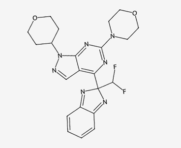 FC(F)C1(c2nc(N3CCOCC3)nc3c2cnn3C2CCOCC2)N=c2ccccc2=N1